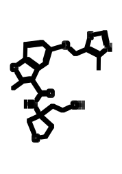 Cc1ncsc1COc1ccc2oc(C)c(C(=O)NC3(CCO)CCOC3)c2c1